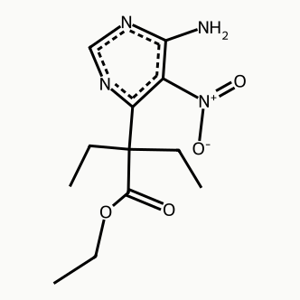 CCOC(=O)C(CC)(CC)c1ncnc(N)c1[N+](=O)[O-]